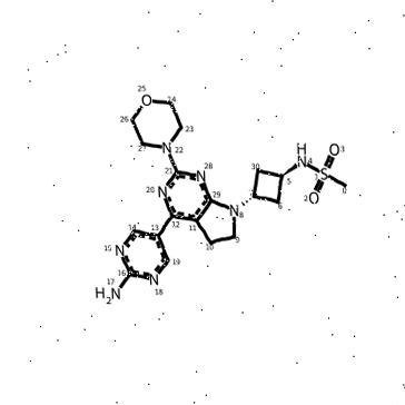 CS(=O)(=O)N[C@H]1C[C@H](N2CCc3c(-c4cnc(N)nc4)nc(N4CCOCC4)nc32)C1